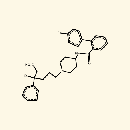 CCC(CCCN1CCC(NC(=O)c2ccccc2-c2ccc(Cl)cc2)CC1)(CC(=O)O)c1ccccc1